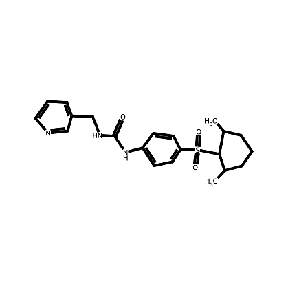 CC1CCCC(C)C1S(=O)(=O)c1ccc(NC(=O)NCc2cccnc2)cc1